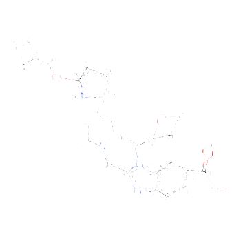 O=C(O)c1ccc2nc(CN3CCN(c4cccc(OCC5COC5)n4)CC3)n(CC3CCO3)c2c1